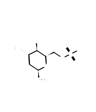 CO[C@H]1C[C@H](O)[C@@H](O)[C@@H](COS(C)(=O)=O)O1